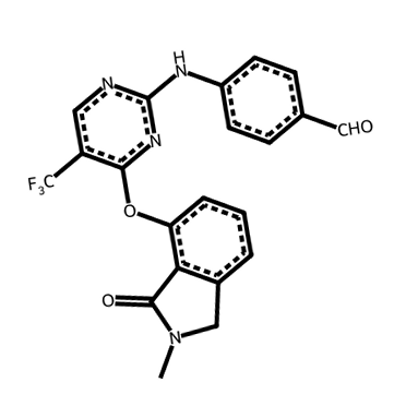 CN1Cc2cccc(Oc3nc(Nc4ccc(C=O)cc4)ncc3C(F)(F)F)c2C1=O